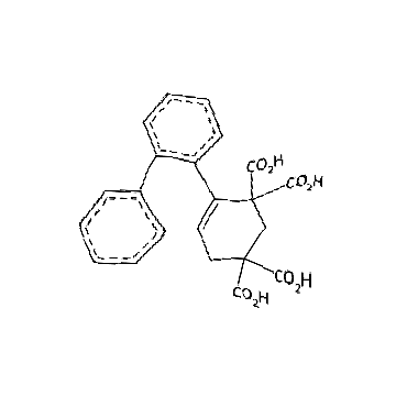 O=C(O)C1(C(=O)O)CC=C(c2ccccc2-c2ccccc2)C(C(=O)O)(C(=O)O)C1